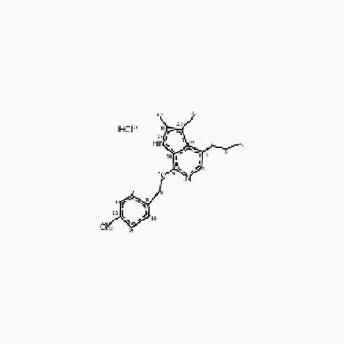 CCCc1cnc(SCc2ccc(Cl)cc2)c2[nH]c(C)c(C)c12.Cl